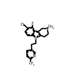 CN1CCc2c(c3c(F)c(Cl)ccc3n2CCc2ccc(C(F)(F)F)nc2)C1